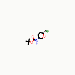 CC(C)(C)OC(=O)N[C@H]1CC[C@H](CF)OC1